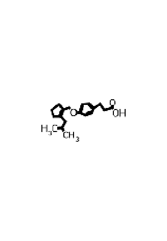 CC(C)CC1=C(COc2ccc(CCC(=O)O)cc2)CCC1